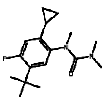 CN(C)C(=O)N(C)c1cc(C(C)(C)C)c(F)cc1C1CC1